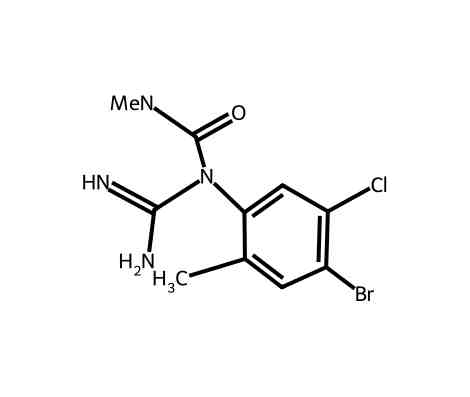 CNC(=O)N(C(=N)N)c1cc(Cl)c(Br)cc1C